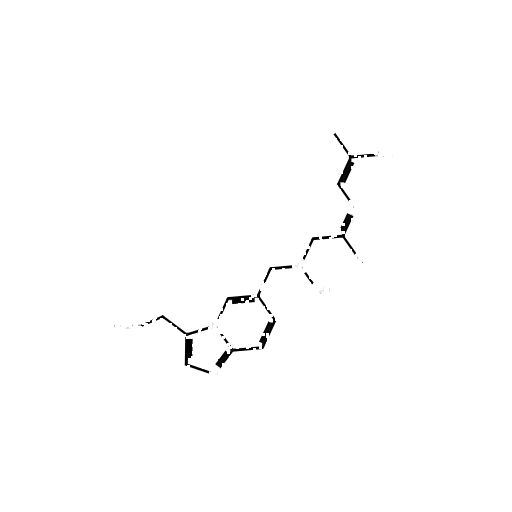 CNCc1cnc2ccc(CN(N)C/C(N)=N\C=C(\C)N)cn12